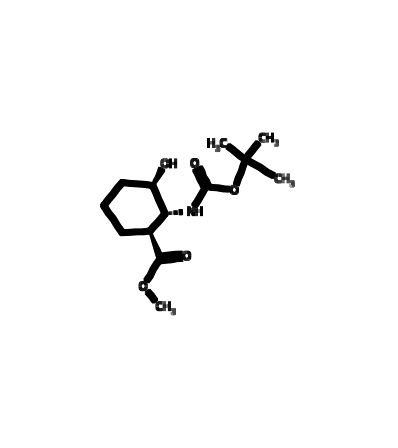 COC(=O)[C@H]1CCC[C@@H](O)[C@@H]1NC(=O)OC(C)(C)C